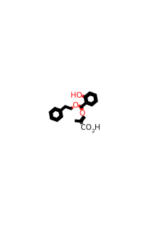 C=C(C)C(=O)O.O=C(OCCc1ccccc1)c1ccccc1O